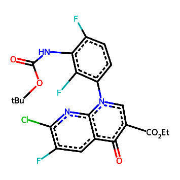 CCOC(=O)c1cn(-c2ccc(F)c(NC(=O)OC(C)(C)C)c2F)c2nc(Cl)c(F)cc2c1=O